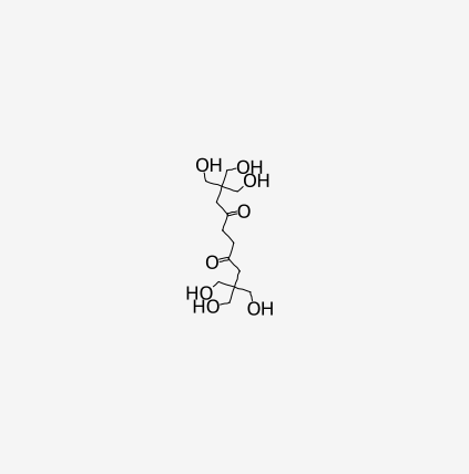 O=C(CCC(=O)CC(CO)(CO)CO)CC(CO)(CO)CO